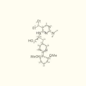 CCC(CC)c1cnc(N(C)C)nc1N[C@@H](Cc1cnc(-c2c(OC)cccc2OC)nc1)C(=O)O